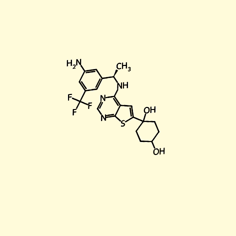 C[C@@H](Nc1ncnc2sc(C3(O)CCC(O)CC3)cc12)c1cc(N)cc(C(F)(F)F)c1